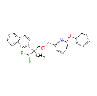 CC(COCc1cccc(Oc2ccccc2)n1)(c1ccc2ccccc2c1)C(F)F